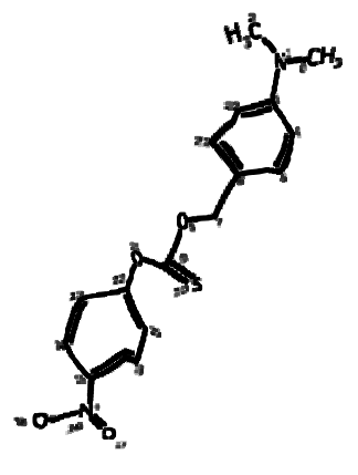 CN(C)c1ccc(COC(=S)Oc2ccc([N+](=O)[O-])cc2)cc1